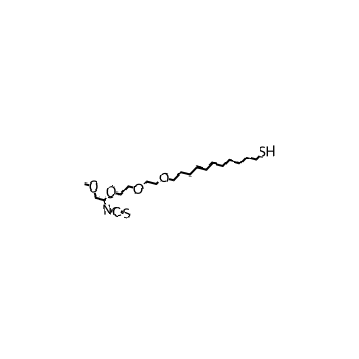 COCC(N=C=S)OCCOCCOCCCCCCCCCCCS